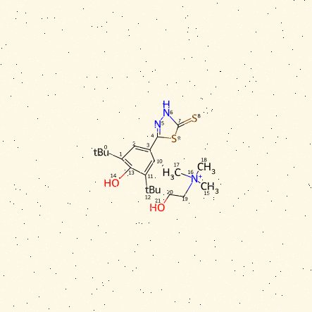 CC(C)(C)c1cc(-c2n[nH]c(=S)s2)cc(C(C)(C)C)c1O.C[N+](C)(C)CCO